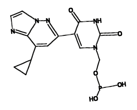 O=c1[nH]c(=O)n(COP(O)O)cc1-c1cc(C2CC2)c2nccn2n1